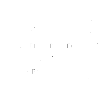 CC[P+](C)(CC)CC(C)C